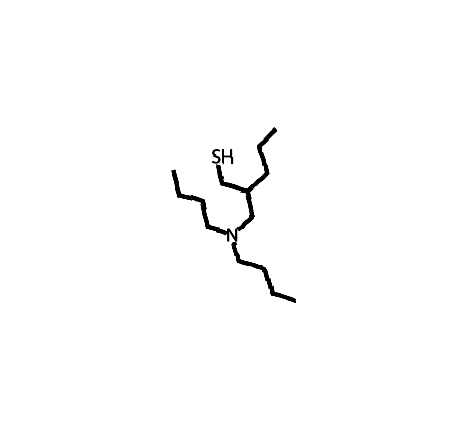 CCCCN(CCCC)CC(CS)CCC